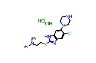 CC(C)N(CCSc1nc2cc(Cl)c(N3CCNCC3)cc2[nH]1)C(C)C.Cl.Cl